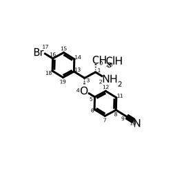 C[C@H](N)[C@H](Oc1ccc(C#N)cc1)c1ccc(Br)cc1.Cl